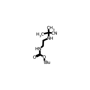 CC(C)(C#N)NCCNC(=O)OC(C)(C)C